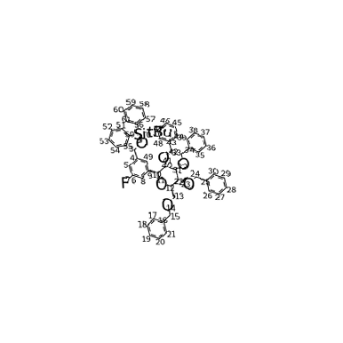 CC(C)(C)[Si](OCc1cc(F)cc([C@@H]2O[C@H](COCc3ccccc3)[C@@H](OCc3ccccc3)[C@H](OCc3ccccc3)[C@H]2OCc2ccccc2)c1)(c1ccccc1)c1ccccc1